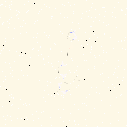 Cn1ccc(OCCCN2CCN(c3nc(C(C)(C)C)ncc3C3CC3)CC2)n1